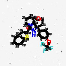 O=C(N[C@]1(c2ccc(OC(F)(F)F)cc2)CCOc2cccnc21)c1cc2ccccc2s1